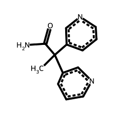 CC(C(N)=O)(c1cccnc1)c1cccnc1